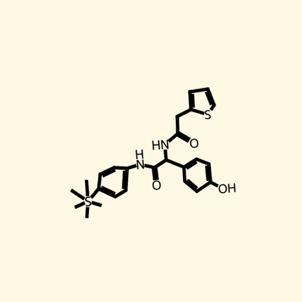 CS(C)(C)(C)(C)c1ccc(NC(=O)C(NC(=O)Cc2cccs2)c2ccc(O)cc2)cc1